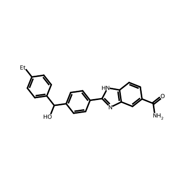 CCc1ccc(C(O)c2ccc(-c3nc4cc(C(N)=O)ccc4[nH]3)cc2)cc1